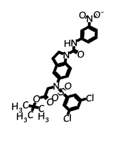 CC(C)(C)OC(=O)CN(c1ccc2c(c1)CCN2C(=O)Nc1cccc([N+](=O)[O-])c1)S(=O)(=O)c1cc(Cl)cc(Cl)c1